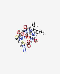 CC(C(C)N1CC(=O)N(COC(=O)C2NCCS2)C(=O)C1)N1CC(=O)N(COC(=O)C2NCCS2)C(=O)C1